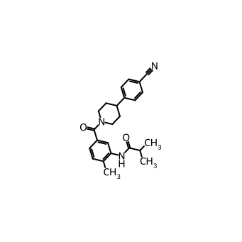 Cc1ccc(C(=O)N2CCC(c3ccc(C#N)cc3)CC2)cc1NC(=O)C(C)C